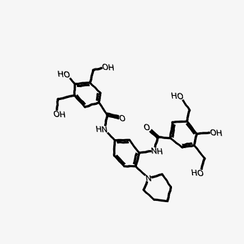 O=C(Nc1ccc(N2CCCCC2)c(NC(=O)c2cc(CO)c(O)c(CO)c2)c1)c1cc(CO)c(O)c(CO)c1